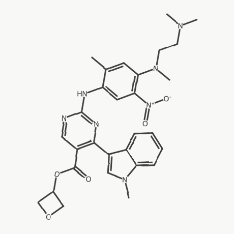 Cc1cc(N(C)CCN(C)C)c([N+](=O)[O-])cc1Nc1ncc(C(=O)OC2COC2)c(-c2cn(C)c3ccccc23)n1